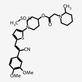 COc1ccc(C(C#N)=Cc2ccc(N3CCC(OC(=O)CN4CCCCC4C)CC3)s2)cc1OC.CS(=O)(=O)O